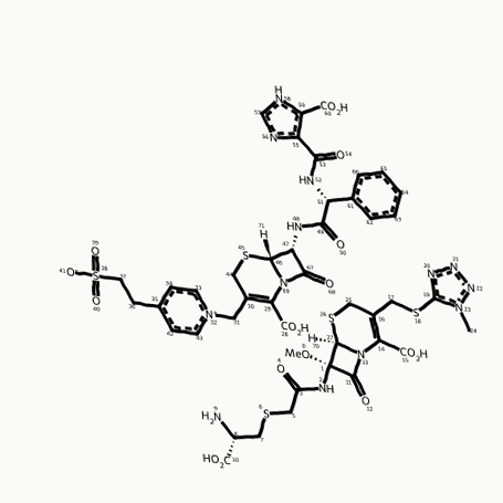 CO[C@@]1(NC(=O)CSC[C@@H](N)C(=O)O)C(=O)N2C(C(=O)O)=C(CSc3nnnn3C)CS[C@@H]21.O=C(O)C1=C(C[n+]2ccc(CCS(=O)(=O)[O-])cc2)CS[C@@H]2[C@H](NC(=O)[C@H](NC(=O)c3nc[nH]c3C(=O)O)c3ccccc3)C(=O)N12